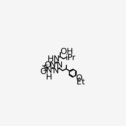 CCOc1ccc(C(C)Cc2nc(NC(CO)CC(C)C)nc(NS(C)(=O)=O)n2)cc1